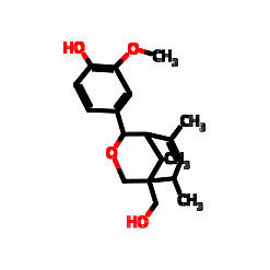 COc1cc(C2OCC3(CO)C(C)C=C(C)C2C3C)ccc1O